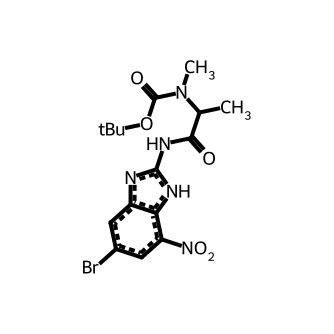 CC(C(=O)Nc1nc2cc(Br)cc([N+](=O)[O-])c2[nH]1)N(C)C(=O)OC(C)(C)C